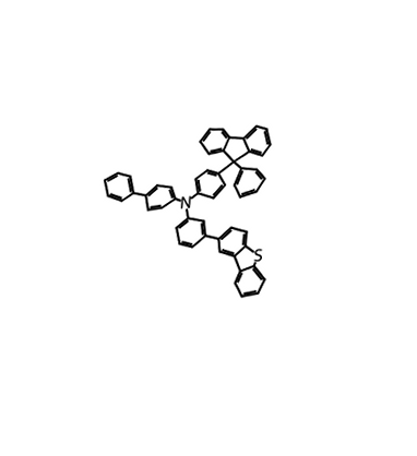 c1ccc(-c2ccc(N(c3ccc(C4(c5ccccc5)c5ccccc5-c5ccccc54)cc3)c3cccc(-c4ccc5sc6ccccc6c5c4)c3)cc2)cc1